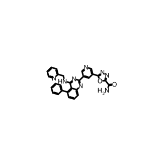 NC(=O)c1nnc(-c2cncc(-c3nc(NCc4ccccn4)c4c(-c5ccccc5)cccc4n3)c2)o1